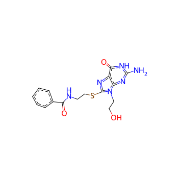 Nc1nc2c(nc(SCCNC(=O)c3ccccc3)n2CCO)c(=O)[nH]1